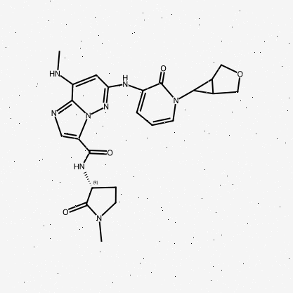 CNc1cc(Nc2cccn(C3C4COCC43)c2=O)nn2c(C(=O)N[C@@H]3CCN(C)C3=O)cnc12